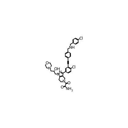 NC(=O)C(=O)N1CCc2c(c(-c3ccc(Cl)c(C#Cc4ccc(CNCc5ccc(Cl)cc5)cc4)c3)nn2C[C@H](O)CN2CCOCC2)C1